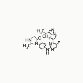 CC1CN(c2ccc(Nc3ncc(F)c(-c4ccn5ncc(C(C)C)c5c4)n3)nc2)C(=O)CCN1